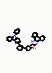 c1ccc(-n2c3ccccc3c3cc(-c4cccc(-c5ccc6oc7nc8c9ccccc9c9ccccc9c8nc7c6c5)c4)ccc32)cc1